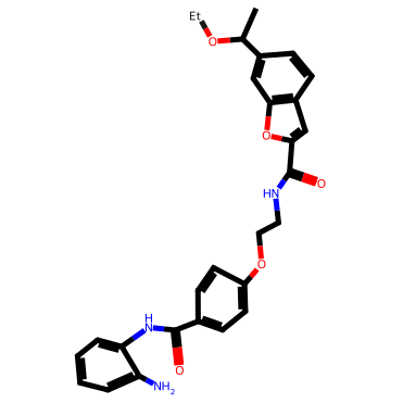 CCOC(C)c1ccc2cc(C(=O)NCCOc3ccc(C(=O)Nc4ccccc4N)cc3)oc2c1